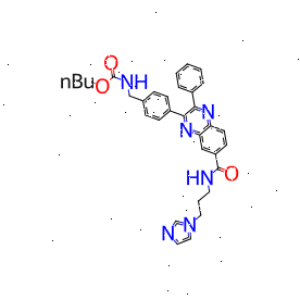 CCCCOC(=O)NCc1ccc(-c2nc3cc(C(=O)NCCCn4ccnc4)ccc3nc2-c2ccccc2)cc1